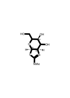 CNC1=N[C@@H]2C(O)[C@H](O)C(CO)O[C@@H]2S1